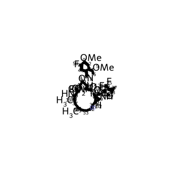 COc1cc2c(OC)cnc(O[C@@H]3C[C@H]4C(=O)N[C@]5(C(=O)NS(=O)(=O)C6(C(F)F)CC6)C[C@H]5/C=C\CC[C@H](C)C[C@@H](C)[C@H](NC(=O)O)C(=O)N4C3)c2cc1F